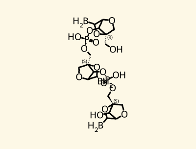 BC1O[C@]2(COP(=O)(O)OC3C4OC[C@@]3(COP(=O)(O)OC3C5OC[C@@]3(CO)OC5B)OC4B)COC1C2O